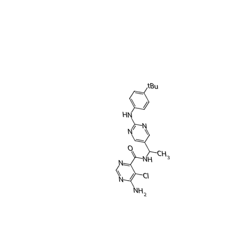 CC(NC(=O)c1ncnc(N)c1Cl)c1cnc(Nc2ccc(C(C)(C)C)cc2)nc1